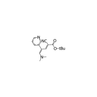 CN(C)C=C(C=C(C#N)C(=O)OC(C)(C)C)c1cccnc1